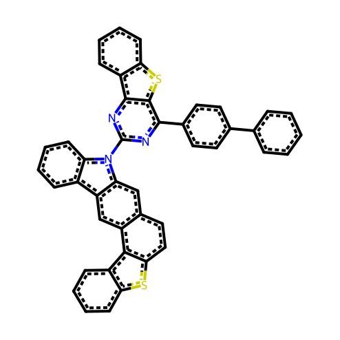 c1ccc(-c2ccc(-c3nc(-n4c5ccccc5c5cc6c(ccc7sc8ccccc8c76)cc54)nc4c3sc3ccccc34)cc2)cc1